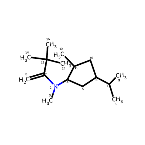 C=C(N(C)C1CC(C(C)C)CC1C)C(C)(C)C